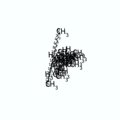 CCCCCCCCCCCCCC(CCCCCCCCCCCC)NC(=O)C(NC(=O)OC(C)(C)C)C(NC(=O)OC(C)(C)C)C(=O)[C@H](CCCNC(=N)NC(=O)OC(C)(C)C)NC(=O)OC(C)(C)C